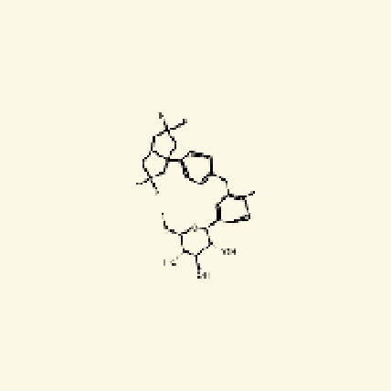 CS[C@H]1O[C@@H](c2ccc(C)c(Cc3ccc(C45CC(F)(F)CC4CC(F)(F)C5)cc3)c2)[C@H](O)[C@@H](O)[C@@H]1O